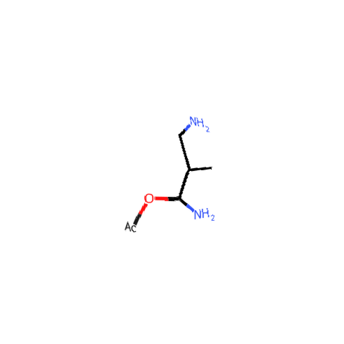 CC(=O)OC(N)C(C)CN